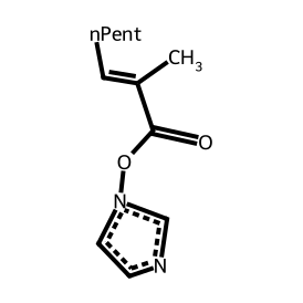 CCCCCC=C(C)C(=O)On1ccnc1